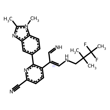 Cc1nc2cc(-c3nc(C#N)ccc3/C(C=N)=C/NCC(C)(C)C(C)(F)F)ccc2n1C